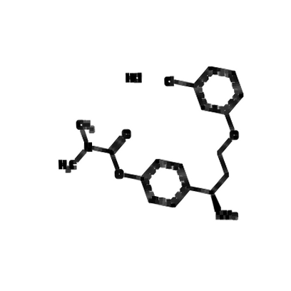 CN[C@H](CCOc1cccc(Cl)c1)c1ccc(OC(=O)N(C)C)cc1.Cl